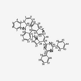 C1=CC2c3ccccc3N(c3ccccc3-c3cccc4sc5c(c34)[C@@H]3C=CC3C(c3nc(-c4ccccc4)nc(-c4ccccc4)n3)=C5)C2C=C1